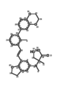 Cc1c(/C=C/c2cc(N(C)C(C)(CO)C(=O)O)cc3c2OCC3)cccc1-c1ccc2c(c1)OCCO2